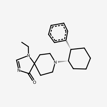 CCN1C=NC(=O)C12CCN([C@H]1CCCC[C@H]1c1ccccc1)CC2